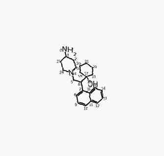 NC1CCN(CC(c2cccc3ccccc23)C2(O)CCCCC2)CC1